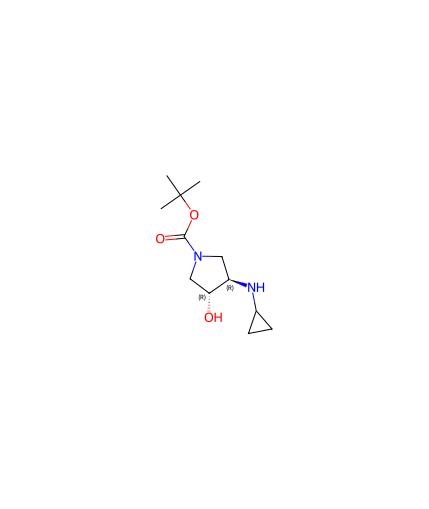 CC(C)(C)OC(=O)N1C[C@@H](O)[C@H](NC2CC2)C1